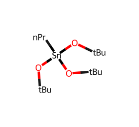 CC[CH2][Sn]([O]C(C)(C)C)([O]C(C)(C)C)[O]C(C)(C)C